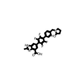 Cc1nc2c(C(=O)O)cc(-c3c(F)c(F)c(-c4ccc(CN5CCCC5O)cc4)c(F)c3F)cc2[nH]1